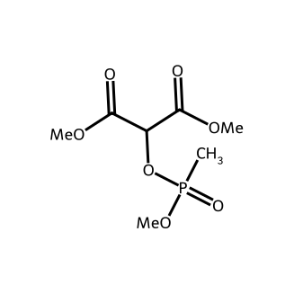 COC(=O)C(OP(C)(=O)OC)C(=O)OC